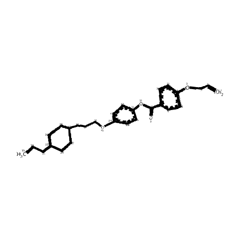 C=CCOc1ccc(C(=O)Oc2ccc(OCCCC3CCC(CCC)CC3)cc2)cc1